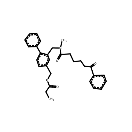 CCC(=O)OCc1ccc(-c2ccccc2)c(CN(C)C(=O)CCCCC(=O)c2ccccc2)c1